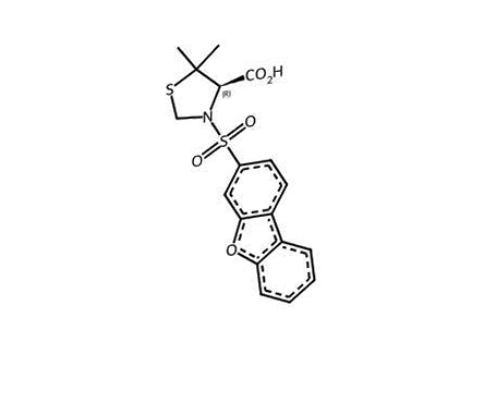 CC1(C)SCN(S(=O)(=O)c2ccc3c(c2)oc2ccccc23)[C@@H]1C(=O)O